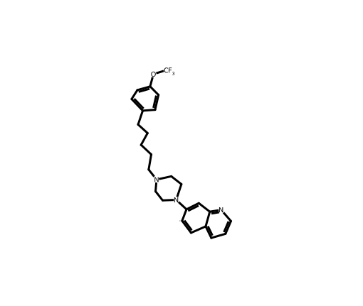 FC(F)(F)Oc1ccc(CCCCCN2CCN(c3[c]cc4cccnc4c3)CC2)cc1